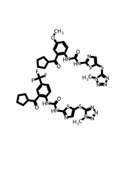 COc1ccc(NC(=O)Nc2ncc(Sc3nnnn3C)s2)c(C(=O)C2CCCC2)c1.Cn1nnnc1Sc1cnc(NC(=O)Nc2ccc(C(F)(F)F)cc2C(=O)C2CCCC2)s1